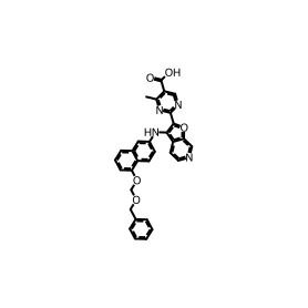 Cc1nc(-c2oc3cnccc3c2Nc2ccc3c(OCOCc4ccccc4)cccc3c2)ncc1C(=O)O